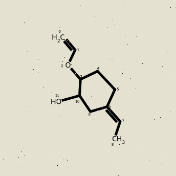 C=COC1CCC(=CC)CC1O